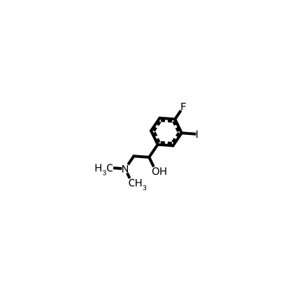 CN(C)CC(O)c1ccc(F)c(I)c1